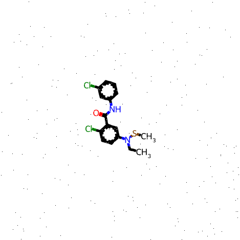 CCN(SC)c1ccc(Cl)c(C(=O)Nc2cccc(Cl)c2)c1